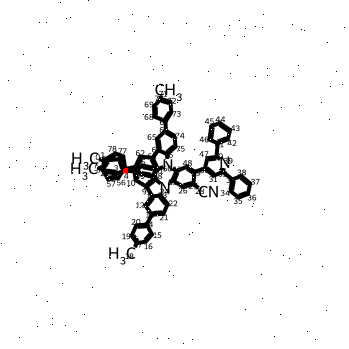 Cc1ccc(-c2ccc3c(c2)c2cc(-c4ccc(C)cc4)ccc2n3-c2cc(C#N)c(-c3cc(-c4ccccc4)nc(-c4ccccc4)c3)cc2-n2c3ccc(-c4ccc(C)cc4)cc3c3cc(-c4ccc(C)cc4)ccc32)cc1